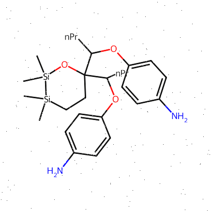 CCCC(Oc1ccc(N)cc1)C1(C(CCC)Oc2ccc(N)cc2)CC[Si](C)(C)[Si](C)(C)O1